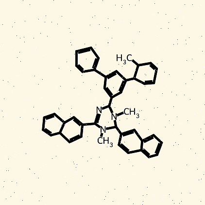 CC1C=CC=CC1c1cc(-c2ccccc2)cc(C2N=C(C3=CC4C=CC=CC4C=C3)N(C)C(c3ccc4ccccc4c3)N2C)c1